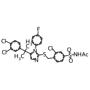 CC(=O)NS(=O)(=O)c1ccc(CSc2ncc(C(C)(C)c3ccc(Cl)c(Cl)c3)n2-c2ccc(F)cc2)c(Cl)c1